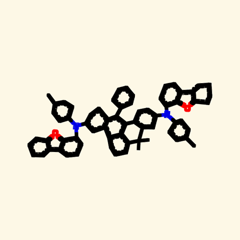 Cc1ccc(N(c2ccc3c(c2)C(C)(C)c2cccc4c2c-3c(-c2ccccc2)c2ccc(N(c3ccc(C)cc3)c3cccc5c3oc3ccccc35)cc24)c2cccc3c2oc2ccccc23)cc1